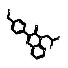 O=c1c(-c2ccc(CF)cc2)nc2cccnc2n1CC(F)F